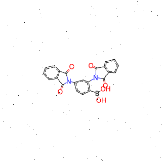 O=C1c2ccccc2C(=O)N1c1ccc(B(O)O)c(N2C(=O)c3ccccc3C2=O)c1